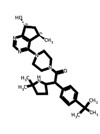 C[C@@H]1C[C@@H](O)c2ncnc(N3CCN(C(=O)C(c4ccc(C(C)(C)C)cc4)C4CCC(C)(C)N4)CC3)c21